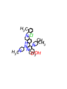 Cc1cccc(Cl)c1CN1CCc2cc(-c3c(NC4CCN(C)CC4)nc(C)c(CC(=O)O)c3N3CCC(C)(C)CC3)ccc2C1